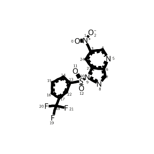 O=[N+]([O-])c1cnc2cnn(S(=O)(=O)c3cccc(C(F)(F)F)c3)c2c1